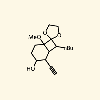 C#CC1C(O)CCC2(OC)C1C(CCCC)C21OCCO1